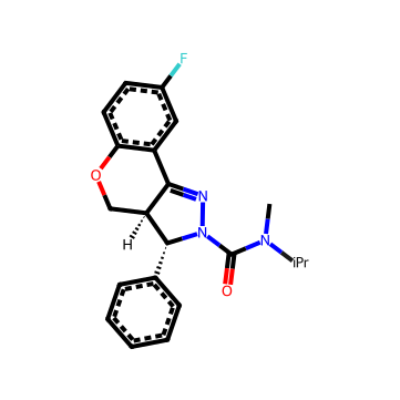 CC(C)N(C)C(=O)N1N=C2c3cc(F)ccc3OC[C@@H]2[C@H]1c1ccccc1